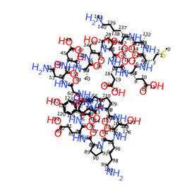 CSCC[C@H](NC(=O)[C@H](CCC(=O)O)NC(=O)[C@H](CCC(=O)O)NC(=O)[C@@H]1CCCN1C(=O)[C@H](CO)NC(=O)[C@H](C)NC(=O)[C@H](CC(=O)O)NC(=O)[C@H](CC(N)=O)NC(=O)CNC(=O)[C@@H]1CCCN1C(=O)[C@H](CC(N)=O)NC(=O)[C@H](CCC(=O)O)NC(=O)[C@@H]1CCCN1C(=O)[C@H](CCCCN)NC(=O)[C@@H](NC(=O)[C@@H]1CCCN1C(=O)[C@@H](N)Cc1ccc(O)cc1)[C@@H](C)O)C(=O)N[C@@H](C)C(=O)N[C@@H](CCCCN)C(=O)O